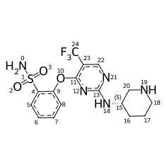 NS(=O)(=O)c1ccccc1Oc1nc(N[C@H]2CCCNC2)ncc1C(F)(F)F